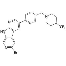 FC(F)(F)C1CCN(Cc2ccc(-c3cnc4[nH]c5cnc(Br)cc5c4c3)cc2)CC1